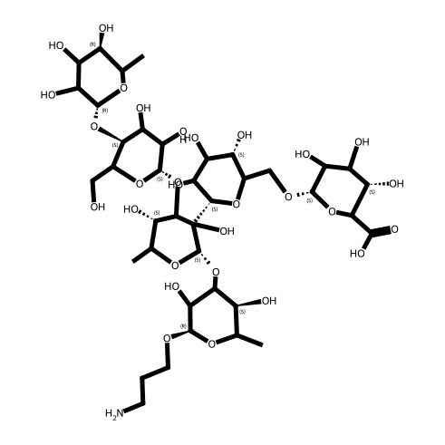 CC1O[C@H](O[C@@H]2C(CO)O[C@@H](OC3[C@@H](O)C(C)O[C@@H](OC4C(O)[C@H](OCCCN)OC(C)[C@@H]4O)C3(O)[C@H]3OC(CO[C@H]4OC(C(=O)O)[C@@H](O)C(O)C4O)[C@@H](O)C(O)C3O)C(O)C2O)C(O)C(O)[C@H]1O